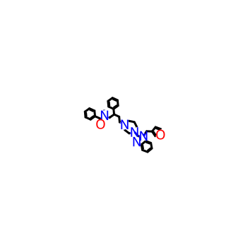 CN(CC(CCN1CCCN(c2nc3ccccc3n2Cc2ccoc2)CC1)c1ccccc1)C(=O)c1ccccc1